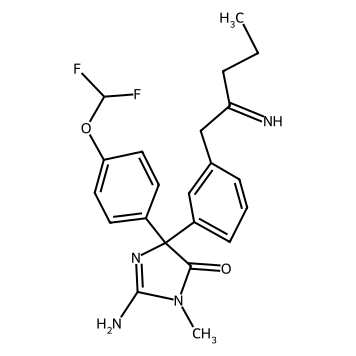 CCCC(=N)Cc1cccc(C2(c3ccc(OC(F)F)cc3)N=C(N)N(C)C2=O)c1